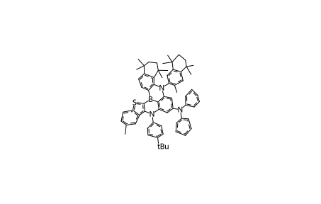 Cc1ccc2sc3c(c2c1)N(c1ccc(C(C)(C)C)cc1)c1cc(N(c2ccccc2)c2ccccc2)cc2c1B3c1ccc3c(c1N2c1cc2c(cc1C)C(C)(C)CCC2(C)C)C(C)(C)CCC3(C)C